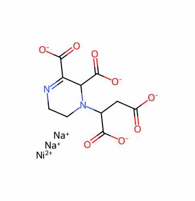 O=C([O-])CC(C(=O)[O-])N1CCN=C(C(=O)[O-])C1C(=O)[O-].[Na+].[Na+].[Ni+2]